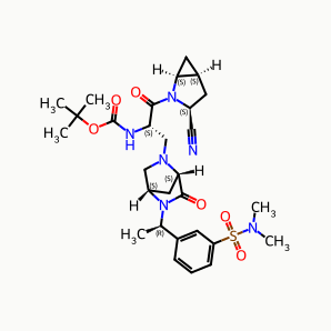 C[C@H](c1cccc(S(=O)(=O)N(C)C)c1)N1C(=O)[C@@H]2C[C@H]1CN2C[C@H](NC(=O)OC(C)(C)C)C(=O)N1[C@H](C#N)C[C@@H]2C[C@@H]21